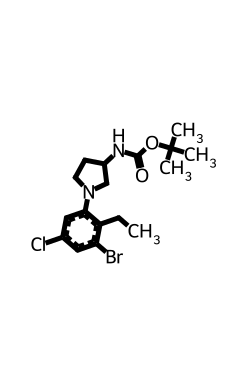 CCc1c(Br)cc(Cl)cc1N1CCC(NC(=O)OC(C)(C)C)C1